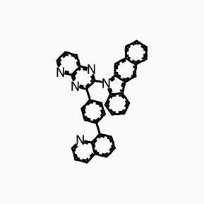 c1ccc2cc3c(cc2c1)c1ccccc1n3-c1nc2cccnc2nc1-c1ccc(-c2cccc3cccnc23)cc1